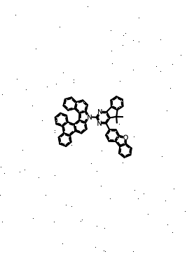 CC1(C)c2ccccc2-c2nc(-n3c4ccc5ccccc5c4c4c5c6ccccc6c6ccccc6c5ccc43)nc(-c3ccc4c(c3)oc3ccccc34)c21